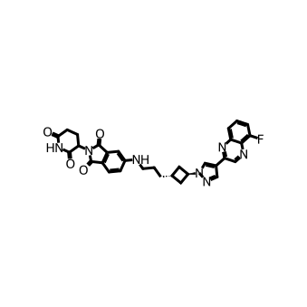 O=C1CCC(N2C(=O)c3ccc(NCCC[C@H]4C[C@H](n5cc(-c6cnc7c(F)cccc7n6)cn5)C4)cc3C2=O)C(=O)N1